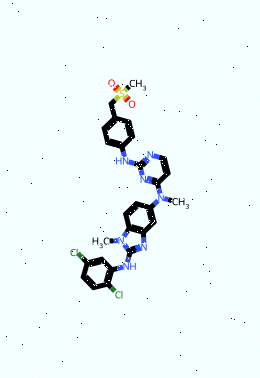 CN(c1ccc2c(c1)nc(Nc1cc(Cl)ccc1Cl)n2C)c1ccnc(Nc2ccc(CS(C)(=O)=O)cc2)n1